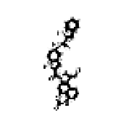 O=C1Nc2cccc3c4c(cc(c23)O1)N(C(=O)c1cc2cc(NC(=O)c3cc5ccccc5[nH]3)ccc2[nH]1)CC4CCl